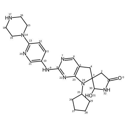 O=C1CC2(Cc3cnc(Nc4ccc(N5CCNCC5)nc4)nc3N2C2CCCC2)C(O)N1